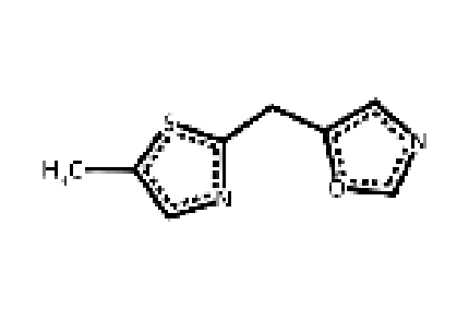 Cc1cnc(Cc2cnco2)s1